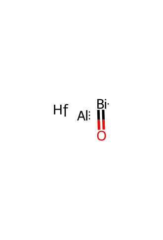 [Al].[Hf].[O]=[Bi]